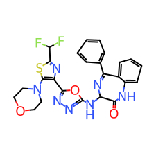 O=C1Nc2ccccc2C(c2ccccc2)=NC1Nc1nnc(-c2nc(C(F)F)sc2N2CCOCC2)o1